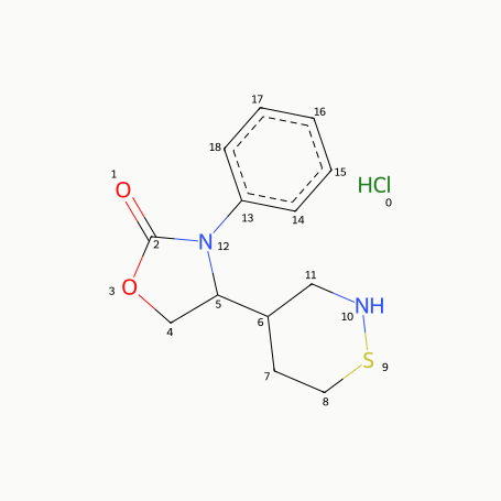 Cl.O=C1OCC(C2CCSNC2)N1c1ccccc1